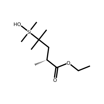 CCOC(=O)[C@H](C)CC(C)(C)[Si](C)(C)O